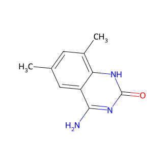 Cc1cc(C)c2[nH]c(=O)nc(N)c2c1